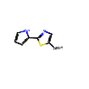 CCCCCCc1cnc(-c2ccc[nH]2)s1